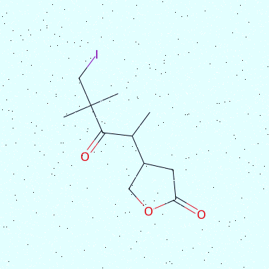 CC(C(=O)C(C)(C)CI)C1COC(=O)C1